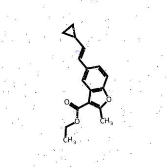 CCOC(=O)c1c(C)oc2ccc(/C=C/C3CC3)cc12